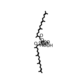 CC(C)=CCC/C(C)=C/CC/C(C)=C/CCC(C)C(=O)COP(=O)(OCC(=O)C(C)CC/C=C(\C)CC/C=C(\C)CCC=C(C)C)OP(=O)(O)O